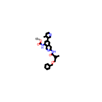 Cc1ccncc1-c1cc(NC(=O)OC(C)(C)C)c2cnc(NC(=O)C3C(C)C3COCc3ccccc3)cc2c1